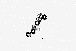 O=C1O[C@]2(CC[C@H](c3nc4cc(-c5ccccn5)ccc4[nH]3)CC2)CN1c1ccccc1F